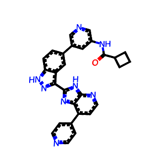 O=C(Nc1cncc(-c2ccc3[nH]nc(-c4nc5c(-c6ccncc6)ccnc5[nH]4)c3c2)c1)C1CCC1